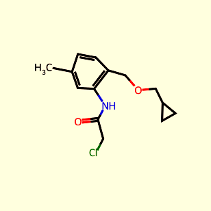 Cc1ccc(COCC2CC2)c(NC(=O)CCl)c1